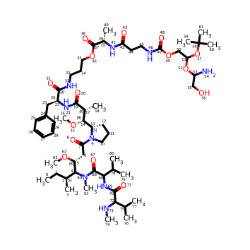 CC[C@H](C)C([C@@H](CC(=O)N1CCC[C@H]1[C@H](OC)[C@@H](C)C(=O)N[C@@H](Cc1ccccc1)C(=O)NCCCOC(=O)[C@H](C)NC(=O)CCNC(=O)OCC(OC(N)CO)OC(C)(C)C)OC)N(C)C(=O)C(NC(=O)C(NC)C(C)C)C(C)C